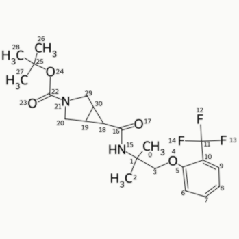 CC(C)(COc1ccccc1C(F)(F)F)NC(=O)C1C2CN(C(=O)OC(C)(C)C)CC21